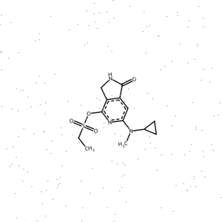 CCS(=O)(=O)Oc1nc(N(C)C2CC2)cc2c1CNC2=O